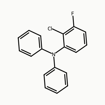 Fc1cccc(N(c2ccccc2)c2ccccc2)c1Cl